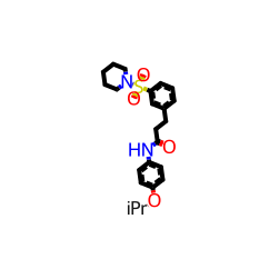 CC(C)Oc1ccc(NC(=O)CCc2cccc(S(=O)(=O)N3CCCCC3)c2)cc1